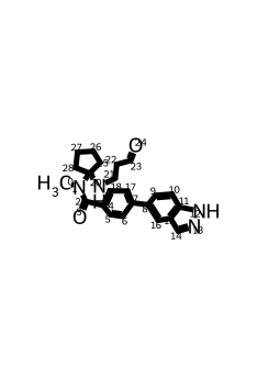 CN(C(=O)c1ccc(-c2ccc3[nH]ncc3c2)cc1)C1(NCCC=O)CCCC1